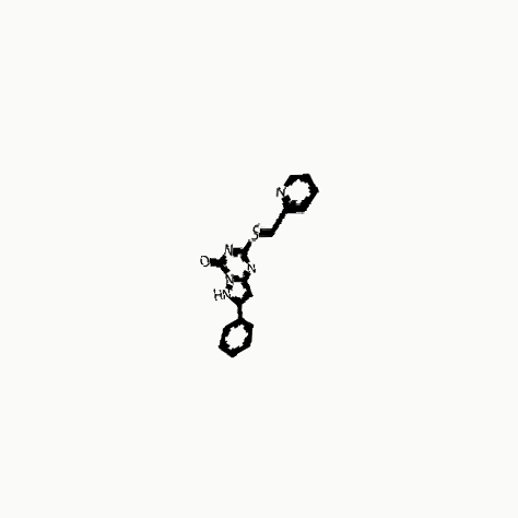 O=c1nc(SCc2ccccn2)nc2cc(-c3ccccc3)[nH]n12